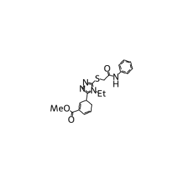 CCn1c(SCC(=O)Nc2ccccc2)nnc1C1C=C(C(=O)OC)C=CC1